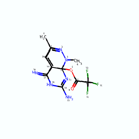 CC1=NN(C)C2(OC(=O)C(F)(F)F)N=C(N)NC(=N)C2=C1